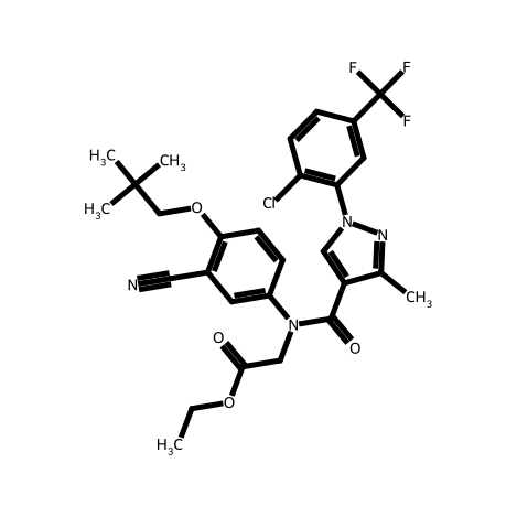 CCOC(=O)CN(C(=O)c1cn(-c2cc(C(F)(F)F)ccc2Cl)nc1C)c1ccc(OCC(C)(C)C)c(C#N)c1